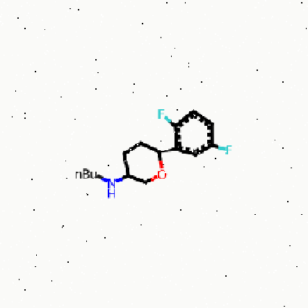 CCCCNC1CC[C@@H](c2cc(F)ccc2F)OC1